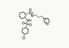 O=C(NCCCn1ccnc1)c1ccccc1NS(=O)(=O)c1ccc(Cl)cc1